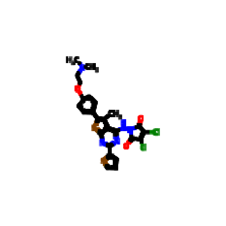 Cc1c(-c2ccc(OCCN(C)C)cc2)sc2nc(-c3cccs3)nc(NN3C(=O)C(Cl)=C(Cl)C3=O)c12